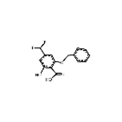 O=C(O)c1c(O)cc(C(F)F)cc1OCc1ccccc1